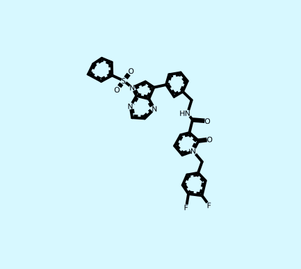 O=C(NCc1cccc(-c2cn(S(=O)(=O)c3ccccc3)c3nccnc23)c1)c1cccn(Cc2ccc(F)c(F)c2)c1=O